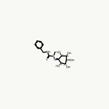 CN(/N=C1\[C@@H](O)[C@@H](O)[C@@H](O)[C@H](O)[C@H]1O)C(=S)NCc1ccccc1